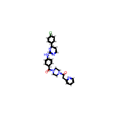 O=C(Cc1ccccn1)N1CCN(C(=O)c2ccc(Nc3nccc(-c4ccc(Cl)cc4)n3)cc2)CC1